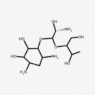 CC(O)C(CO)OC(OC1C(N)CC(N)C(O)C1O)[C@@H](N)O